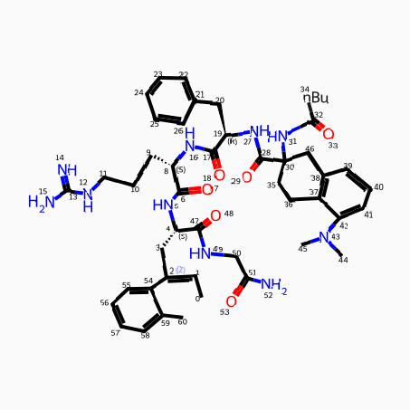 C/C=C(/C[C@H](NC(=O)[C@H](CCCNC(=N)N)NC(=O)[C@@H](Cc1ccccc1)NC(=O)C1(NC(=O)CCCC)CCc2c(cccc2N(C)C)C1)C(=O)NCC(N)=O)c1ccccc1C